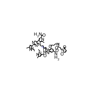 CCn1nc(C)cc1C(=O)Nc1nc2cc(C(N)=O)cc(OCCCN(C)C(=O)CCN3C(=O)C=CC3=O)c2n1C/C=C/Cn1c2nc(-c3cc(C)nn3CC)ncc2c2cc(C(N)=O)nc(C)c21